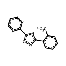 O=C(O)c1ccccc1-c1noc(-c2ncccn2)n1